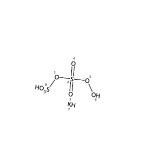 O=S(=O)(O)OS(=O)(=O)OO.[KH]